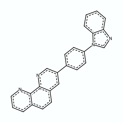 c1cnc2c(c1)ccc1cc(-c3ccc(-n4cnc5ccccc54)cc3)cnc12